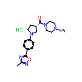 Cc1noc(-c2ccc(N3CC[C@H](C(=O)N4CCN(C(C)C)CC4)C3)cc2)n1.Cl